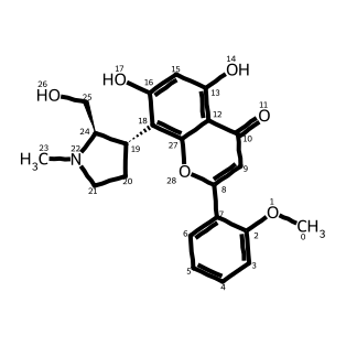 COc1ccccc1-c1cc(=O)c2c(O)cc(O)c([C@@H]3CCN(C)[C@H]3CO)c2o1